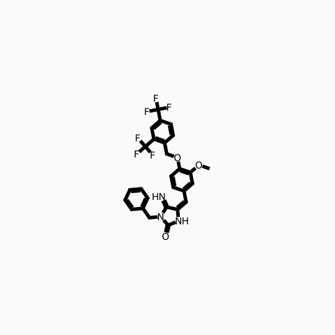 COc1cc(C=C2NC(=O)N(Cc3ccccc3)C2=N)ccc1OCc1ccc(C(F)(F)F)cc1C(F)(F)F